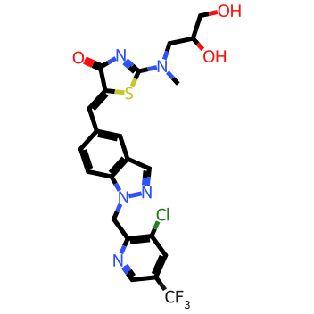 CN(CC(O)CO)C1=NC(=O)C(=Cc2ccc3c(cnn3Cc3ncc(C(F)(F)F)cc3Cl)c2)S1